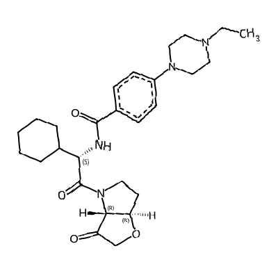 CCN1CCN(c2ccc(C(=O)N[C@H](C(=O)N3CC[C@H]4OCC(=O)[C@@H]43)C3CCCCC3)cc2)CC1